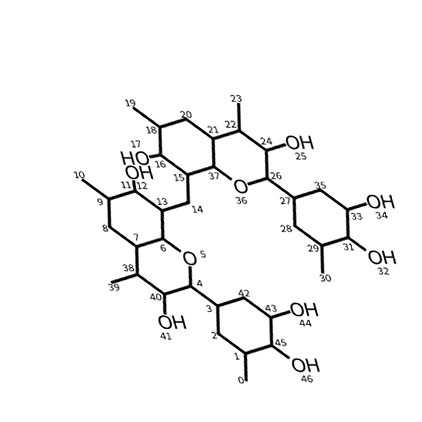 CC1CC(C2OC3C(CC(C)C(O)C3CC3C(O)C(C)CC4C(C)C(O)C(C5CC(C)C(O)C(O)C5)OC43)C(C)C2O)CC(O)C1O